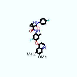 COc1cc2nccc(Oc3cc(C)c(NC(=O)C4(C(=O)Nc5ccc(F)cc5)CC4)cc3F)c2cc1OC